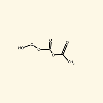 CC(=O)OS(=O)OOO